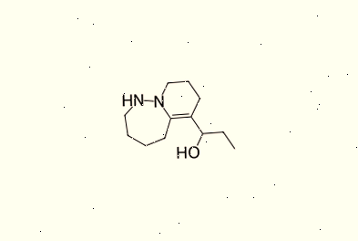 CCC(O)C1=C2CCCCNN2CCC1